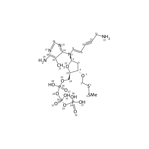 CSSCO[C@H]1C[C@H](N(/C=C/C#CCN)c2ncnc(N)c2C)O[C@@H]1COP(=O)(O)OP(=O)(O)OP(=O)(O)O